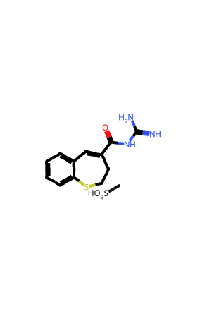 CS(=O)(=O)O.N=C(N)NC(=O)C1=Cc2ccccc2SCC1